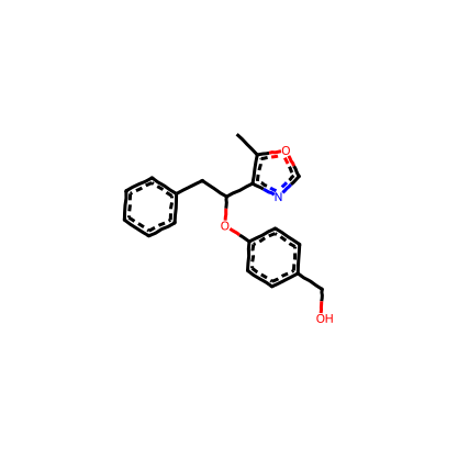 Cc1ocnc1C(Cc1ccccc1)Oc1ccc(CO)cc1